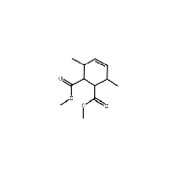 COC(=O)C1C(C)C=CC(C)C1C(=O)OC